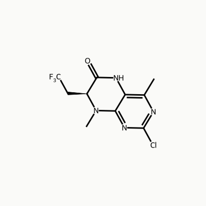 Cc1nc(Cl)nc2c1NC(=O)[C@H](CC(F)(F)F)N2C